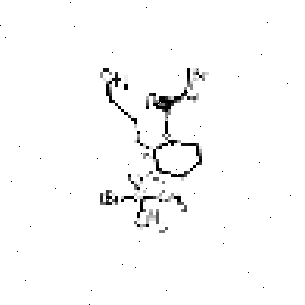 CC(C)(C)OC(=O)N1CCC[C@H](O[Si](C)(C)C(C)(C)C)[C@H]1CCCO